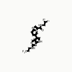 O=C(NCC(F)F)c1cnc2ccc(-c3c[nH]c4nc(NCCC(F)(F)F)ncc34)cn12